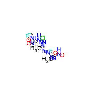 C[C@@H]1CN(c2ncc(Cl)c(Nc3ccc4c(c3)c3c(c(=O)n4C)OCC(F)(F)[C@H](C4CC4)N3)n2)CC[C@@H]1CN1CCN(c2cc3c(cc2F)c(C2CCC(=O)NC2=O)nn3C)CC1